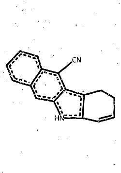 N#Cc1c2ccccc2cc2[nH]c3c(c12)CCC=C3